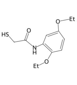 CCOc1ccc(OCC)c(NC(=O)CS)c1